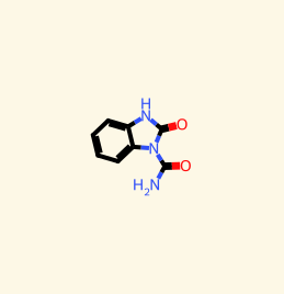 NC(=O)n1c(=O)[nH]c2ccccc21